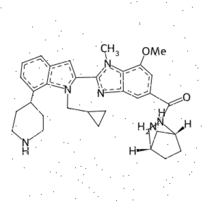 COc1cc(C(=O)N2C[C@H]3CC[C@@H]2[C@@H]3N)cc2nc(-c3cc4cccc(C5CCNCC5)c4n3CC3CC3)n(C)c12